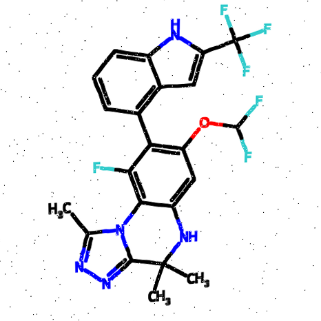 Cc1nnc2n1-c1c(cc(OC(F)F)c(-c3cccc4[nH]c(C(F)(F)F)cc34)c1F)NC2(C)C